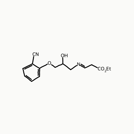 CCOC(=O)CC=NCC(O)COc1ccccc1C#N